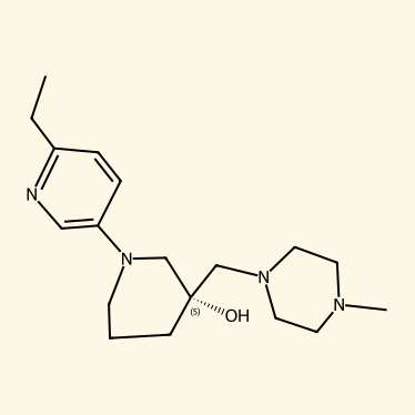 CCc1ccc(N2CCC[C@](O)(CN3CCN(C)CC3)C2)cn1